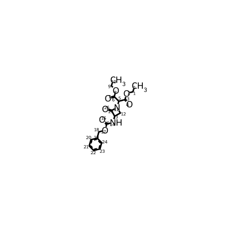 CCOC(=O)C(C(=O)OCC)N1CC(NC(=O)OCc2ccccc2)C1=O